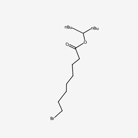 CCCCC(CCCC)OC(=O)CCCCCCCBr